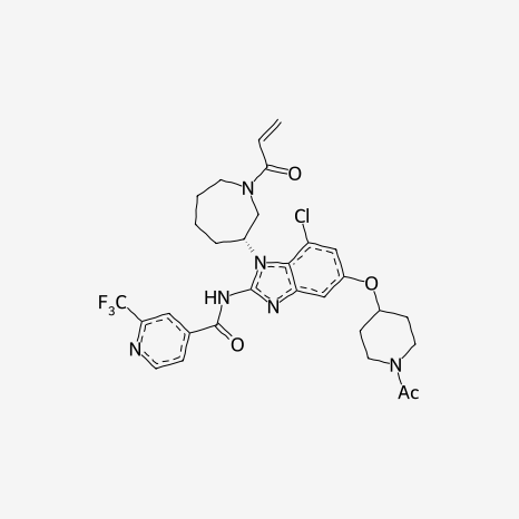 C=CC(=O)N1CCCC[C@@H](n2c(NC(=O)c3ccnc(C(F)(F)F)c3)nc3cc(OC4CCN(C(C)=O)CC4)cc(Cl)c32)C1